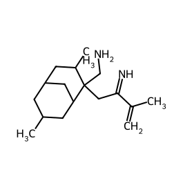 C=C(C)C(=N)CC1(CN)C(C)CC2CC(C)CC1C2